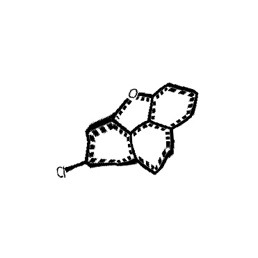 Clc1cc2ccc3cccc4oc(c1)c2c34